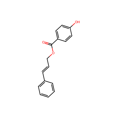 O=C(OCC=Cc1ccccc1)c1ccc(O)cc1